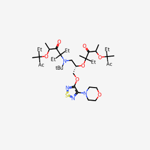 CCC(C)(OC(C)C(=O)C(C)(CC)O[C@H](COc1nsnc1N1CCOCC1)CN(C(C)(C)C)C(CC)(CC)C(=O)C(C)OC(C)(CC)C(C)=O)C(C)=O